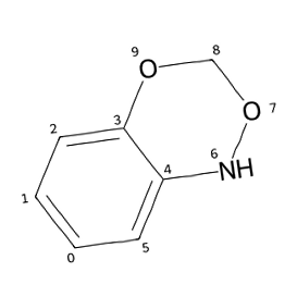 c1ccc2c(c1)NOCO2